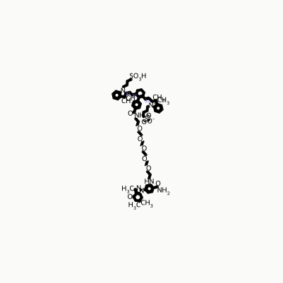 Cc1nn(-c2ccc(C(N)=O)c(NCCCOCCOCCOCCOCCOCCCNC(=O)c3ccc(C4=C(/C=C/C5=[N+](CCCCS(=O)(=O)[O-])c6ccccc6C5(C)C)CCC/C4=C\C=C4\N(CCCCS(=O)(=O)O)c5ccccc5C4(C)C)cc3)c2)c2c1C(=O)CC(C)(C)C2